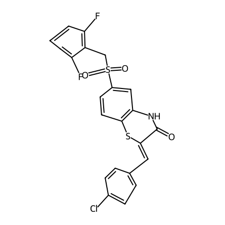 O=C1Nc2cc(S(=O)(=O)Cc3c(F)cccc3F)ccc2SC1=Cc1ccc(Cl)cc1